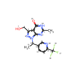 Cc1nc2c(c(CO)nn2C(C)c2ccc(C(F)(F)F)nc2)c(=O)[nH]1